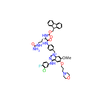 COc1cc2c(cc1OCCCN1CCOCC1)c(Nc1ccc(F)c(Cl)c1)nc[n+]2Cc1ccc(NC(=O)[C@H](CCCNC(N)=O)NC(=O)OCC2c3ccccc3-c3ccccc32)cc1